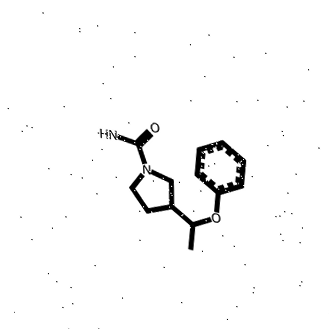 CC(Oc1ccccc1)C1CCN(C([NH])=O)C1